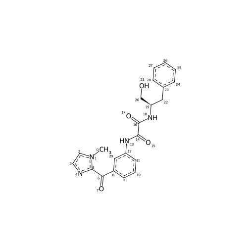 Cn1ccnc1C(=O)c1cccc(NC(=O)C(=O)N[C@@H](CO)Cc2ccccc2)c1